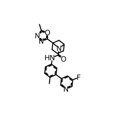 Cc1nnc(C23CCCC(C2)N3C(=O)Nc2ccc(C)c(-c3cncc(F)c3)c2)o1